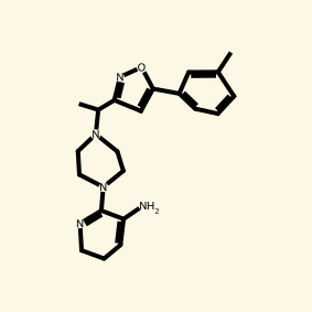 Cc1cccc(-c2cc(C(C)N3CCN(C4=NCCC=C4N)CC3)no2)c1